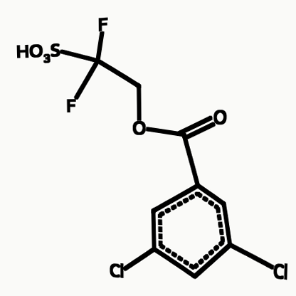 O=C(OCC(F)(F)S(=O)(=O)O)c1cc(Cl)cc(Cl)c1